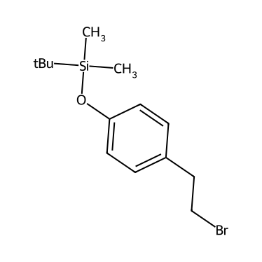 CC(C)(C)[Si](C)(C)Oc1ccc(CCBr)cc1